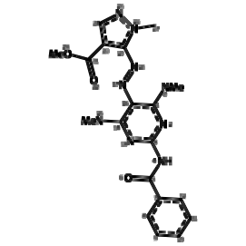 CNc1nc(NC(=O)c2ccccc2)nc(NC)c1/N=N/c1c(C(=O)OC)cnn1C